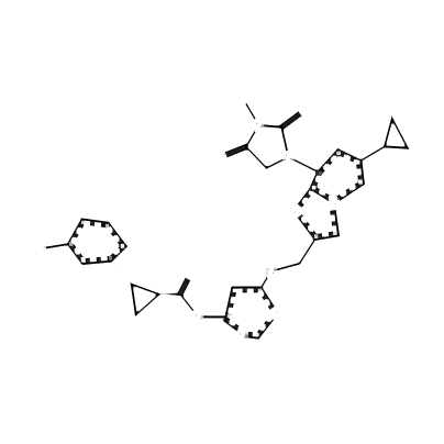 CN1C(=O)CN(c2cc(C3CC3)cn3cc(CNc4cc(NC(=O)[C@H]5C[C@@H]5c5cccc(Cl)c5)ncn4)nc23)C1=O